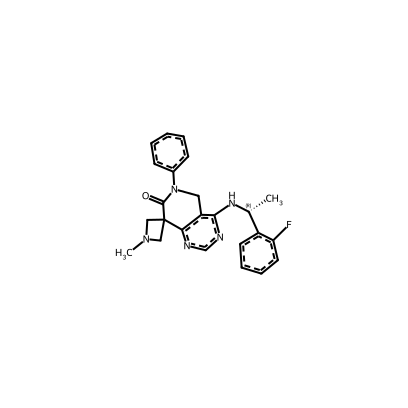 C[C@@H](Nc1ncnc2c1CN(c1ccccc1)C(=O)C21CN(C)C1)c1ccccc1F